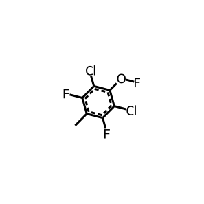 Cc1c(F)c(Cl)c(OF)c(Cl)c1F